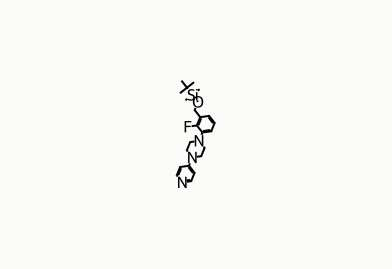 CC(C)(C)[Si](C)(C)OCc1cccc(N2CCN(c3ccncc3)CC2)c1F